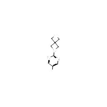 [2H]c1cnc(N2CC3(COC3)C2)nc1